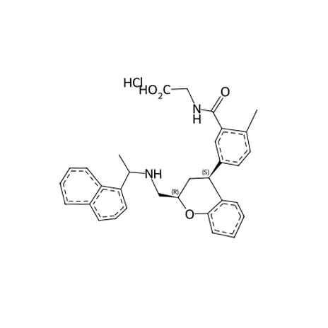 Cc1ccc([C@@H]2C[C@H](CNC(C)c3cccc4ccccc34)Oc3ccccc32)cc1C(=O)NCC(=O)O.Cl